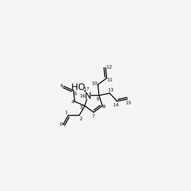 C=CCC1(CC=C)C=CC(CC=C)(CC=C)N1O